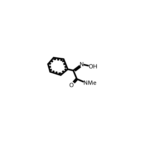 CNC(=O)/C(=N\O)c1ccccc1